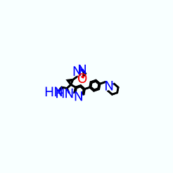 N=CC1Nc2ncc(-c3ccc(CN4CCCCC4)cc3)cc2C12C=C2c1nnco1